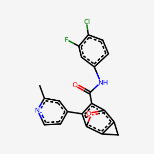 Cc1cc(-c2c(C(=O)Nc3ccc(Cl)c(F)c3)c3oc2c2c3C2)ccn1